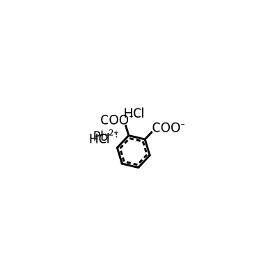 Cl.Cl.O=C([O-])c1ccccc1C(=O)[O-].[Pb+2]